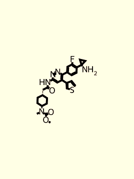 COC(=O)N(C)[C@H]1CC[C@H](CC(=O)Nc2cc(-c3ccsc3)c(-c3ccc(C4(N)CC4)c(F)c3)nn2)CC1